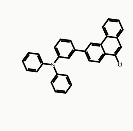 Clc1cc2ccccc2c2cc(-c3cccc(N(c4ccccc4)c4ccccc4)c3)ccc12